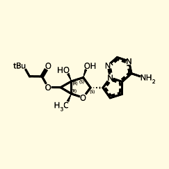 CC(C)(C)CC(=O)OC1[C@@]2(C)O[C@@H](c3ccc4c(N)ncnn34)[C@H](O)[C@@]12O